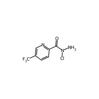 NN(Cl)C(=O)c1ccc(C(F)(F)F)cn1